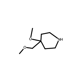 COCC1(OC)CCNCC1